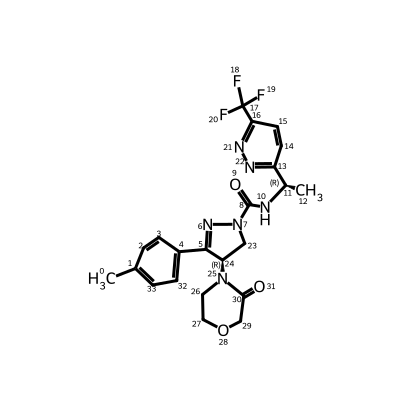 Cc1ccc(C2=NN(C(=O)N[C@H](C)c3ccc(C(F)(F)F)nn3)C[C@H]2N2CCOCC2=O)cc1